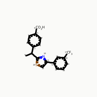 CC(c1ccc(C(=O)O)cc1)c1nc(-c2cccc(C(F)(F)F)c2)cs1